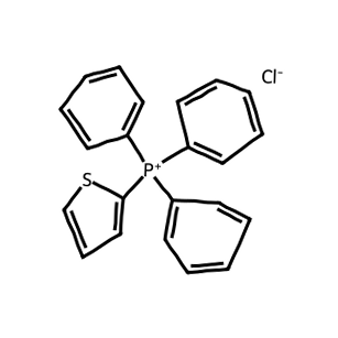 [Cl-].c1ccc([P+](c2ccccc2)(c2ccccc2)c2cccs2)cc1